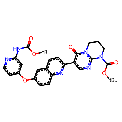 CC(C)(C)OC(=O)Nc1cc(Oc2ccc3nc(-c4cnc5n(c4=O)CCCN5C(=O)OC(C)(C)C)ccc3c2)ccn1